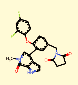 Cn1cc(-c2cc(CN3C(=O)CCC3=O)ccc2Oc2ccc(F)cc2F)c2cc[nH]c2c1=O